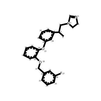 CC(CN1C=NCC1)c1cccc(Oc2ccccc2OCc2cccc(F)c2)c1